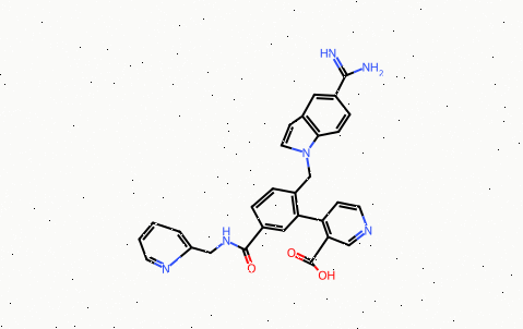 N=C(N)c1ccc2c(ccn2Cc2ccc(C(=O)NCc3ccccn3)cc2-c2ccncc2C(=O)O)c1